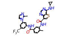 Cc1ccc(C(=O)Nc2cc(-n3ccnc3C)cc(C(F)(F)F)c2)cc1NC(=O)c1csc2c(NC3CC3)ncnc12